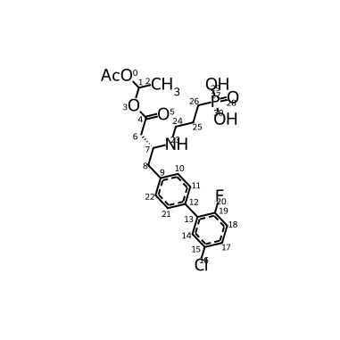 CC(=O)OC(C)OC(=O)C[C@@H](Cc1ccc(-c2cc(Cl)ccc2F)cc1)NCCCP(=O)(O)O